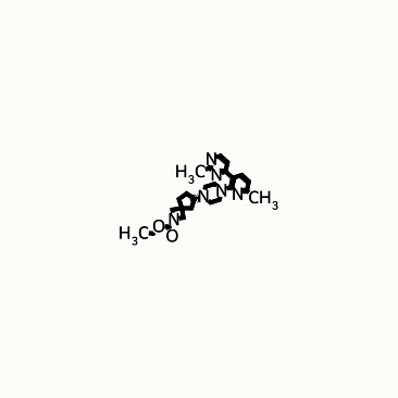 CCOC(=O)N1CC2(CC[C@@H](N3CCN(c4nc(C)ccc4-c4ccnc(C)n4)CC3)C2)C1